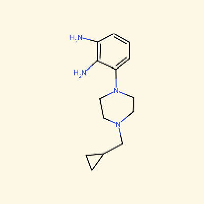 Nc1cccc(N2CCN(CC3CC3)CC2)c1N